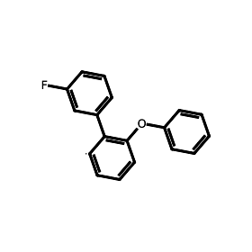 Fc1cccc(-c2[c]cccc2Oc2ccccc2)c1